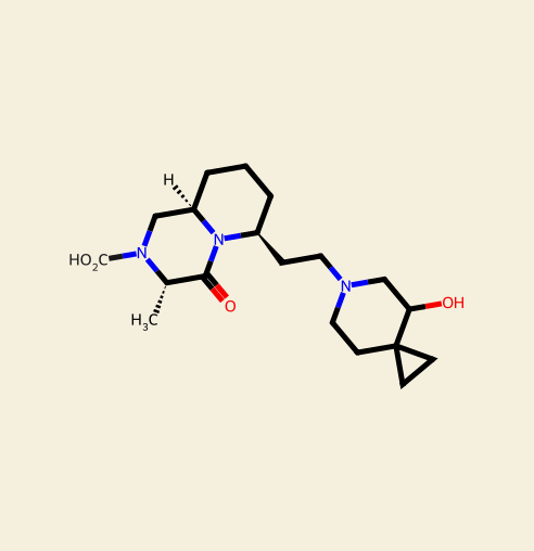 C[C@H]1C(=O)N2[C@H](CCN3CCC4(CC4)C(O)C3)CCC[C@@H]2CN1C(=O)O